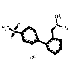 CN(C)Cc1ccccc1-c1ccc(S(C)(=O)=O)cc1.Cl